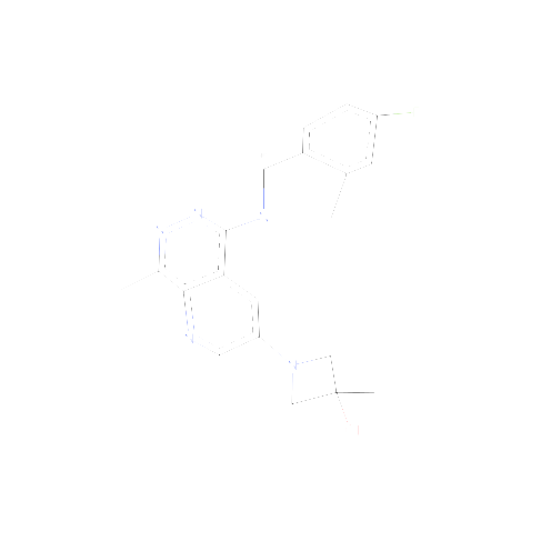 Cc1cc(F)ccc1[C@@H](C)Nc1nnc(C)c2ncc(N3CC(C)(O)C3)cc12